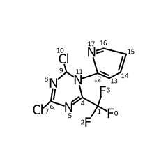 FC(F)(F)C1=NC(Cl)=NC(Cl)N1c1ccccn1